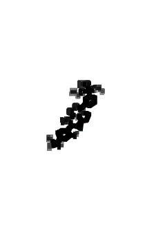 CC(C)(O)c1cccc(C(=O)N2CCC[C@@H]2C(=O)NC(c2ccc(C(F)(F)F)cc2F)C2CC2)c1